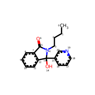 CCCCN1C(=O)c2ccccc2C1(O)c1cccnc1